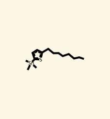 CCCCCCCCc1cc[c]([Sn]([CH3])([CH3])[CH3])s1